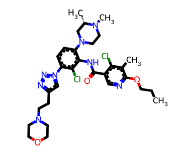 CCCOc1ncc(C(=O)Nc2c(N3CCN(C)[C@@H](C)C3)ccc(-n3cc(CCN4CCOCC4)nn3)c2Cl)c(Cl)c1C